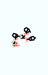 CC1CC2CC(C1)CC(C(=O)OCC1(COC(=O)C34CCCC(CC(C)C3)C4)CSC(C3CC4CCCC(C(=O)OCC(F)(F)S(=O)(=O)O)(C4)C3)SC1)C2